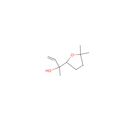 C=CC(C)(O)C1CCC(C)(C)O1